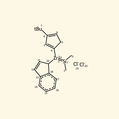 C[Si](C)=[Zr+2]([C]1=CC(C(C)(C)C)=CC1)[CH]1C=Cc2ccccc21.[Cl-].[Cl-]